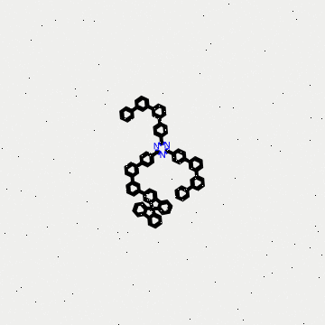 c1ccc(-c2cccc(-c3cccc(-c4ccc(-c5nc(-c6ccc(-c7cccc(-c8cccc(-c9ccccc9)c8)c7)cc6)nc(-c6ccc(-c7cccc(-c8cccc(-c9ccc%10c(c9)C9(c%11ccccc%11-c%11ccccc%119)c9ccccc9-%10)c8)c7)cc6)n5)cc4)c3)c2)cc1